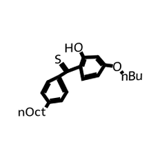 CCCCCCCCc1ccc(C(=S)c2ccc(OCCCC)cc2O)cc1